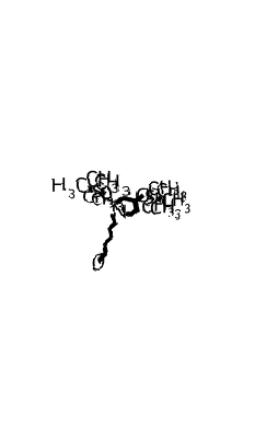 CC(C)(C)[Si](C)(C)OC[C@@H]1CC(O[Si](C)(C)C(C)(C)C)CCN1CCCCCC=O